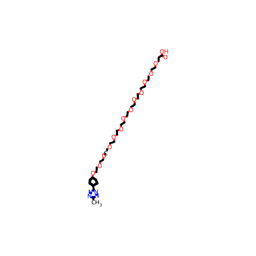 Cc1nnc(-c2ccc(OCCOCCOCCOCCOCCOCCOCCOCCOCCOCCOCCOCCOCCC(=O)O)cc2)nn1